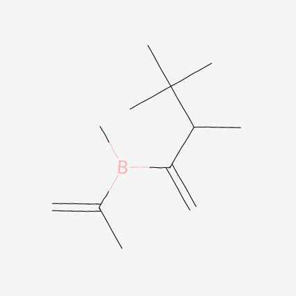 C=C(C)B(C)C(=C)C(C)C(C)(C)C